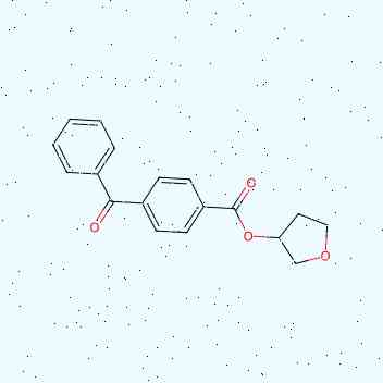 O=C(OC1CCOC1)c1ccc(C(=O)c2ccccc2)cc1